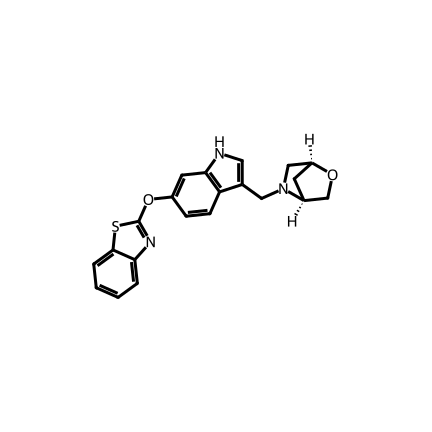 c1ccc2sc(Oc3ccc4c(CN5C[C@@H]6C[C@H]5CO6)c[nH]c4c3)nc2c1